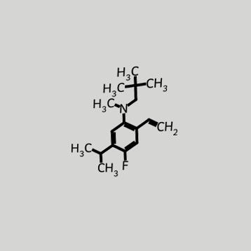 C=Cc1cc(F)c(C(C)C)cc1N(C)CC(C)(C)C